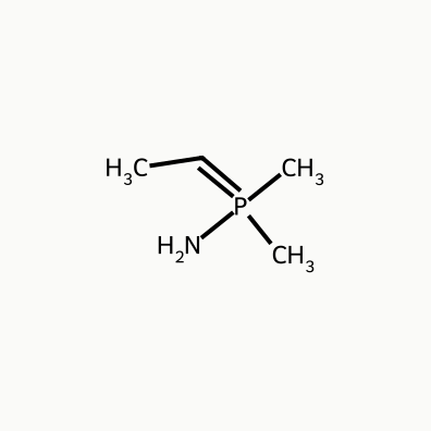 CC=P(C)(C)N